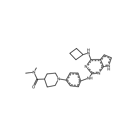 CN(C)C(=O)C1CCN(c2ccc(Nc3nc(NC4CCC4)c4cc[nH]c4n3)cc2)CC1